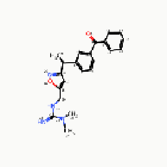 CC(c1cccc(C(=O)c2ccccc2)c1)c1cc(CNC(=N)N(C)C)on1